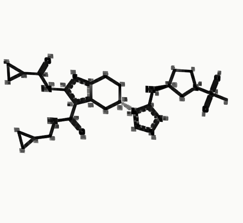 CS(=O)(=O)N1CC[C@H](Nc2nncn2[C@H]2CCc3sc(NC(=O)C4CC4)c(C(=O)NCC4CC4)c3C2)C1